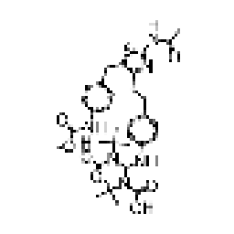 COC(=O)Nc1ccc(Cc2sc(NC(C)=O)nc2CCc2ccc(NC(N(C(=O)O)C(C)(C)C)N(C(=O)O)C(C)(C)C)cc2)cc1